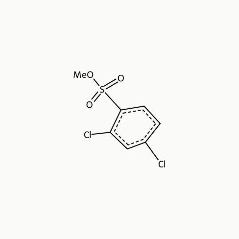 [CH2]OS(=O)(=O)c1ccc(Cl)cc1Cl